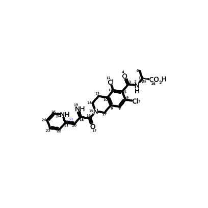 C[C@H](NC(=O)c1c(Cl)cc2c(c1Cl)CCN(C(=O)C(=N)/C=C1/C=CC=CN1)C2)C(=O)O